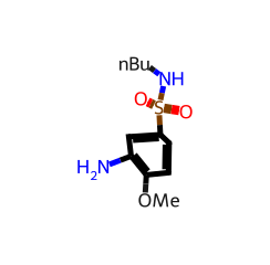 CCCCNS(=O)(=O)c1ccc(OC)c(N)c1